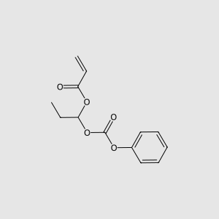 C=CC(=O)OC(CC)OC(=O)Oc1ccccc1